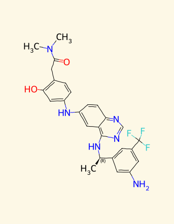 C[C@@H](Nc1ncnc2ccc(Nc3ccc(CC(=O)N(C)C)c(O)c3)cc12)c1cc(N)cc(C(F)(F)F)c1